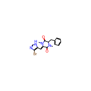 CN1C(=O)C(Cc2ccccc2)N(C)C(=O)C1=Cc1[nH]cnc1Br